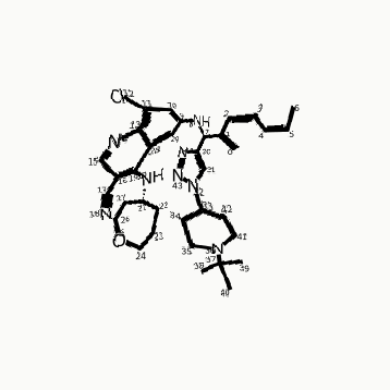 C=C(/C=C\C=C/C)[C@H](Nc1cc(Cl)c2ncc(C#N)c(N[C@@H]3CCCOCC3)c2c1)c1cn(C2CCN(C(C)(C)C)CC2)nn1